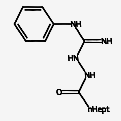 CCCCCCCC(=O)NNC(=N)Nc1ccccc1